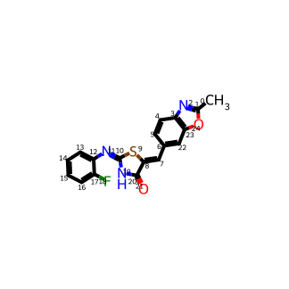 Cc1nc2ccc(/C=C3\S/C(=N/c4ccccc4F)NC3=O)cc2o1